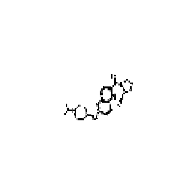 CC(C)N1CCC(Oc2ccc3nc(C(=O)N4CCCC4C#N)ccc3c2)CC1